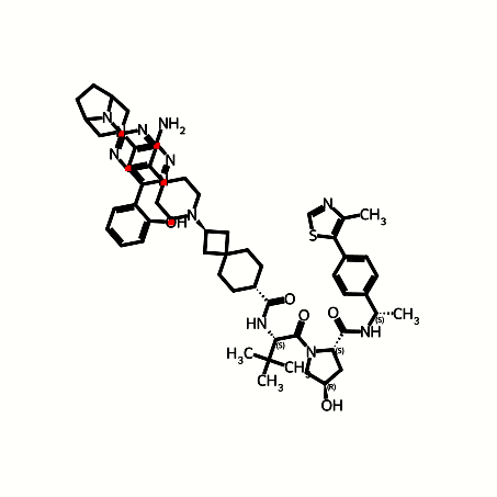 Cc1ncsc1-c1ccc([C@H](C)NC(=O)[C@@H]2C[C@@H](O)CN2C(=O)[C@@H](NC(=O)[C@H]2CCC3(CC2)C[C@H](N2CCC(c4cnc(N5C6CCC5CN(c5cc(-c7ccccc7O)nnc5N)C6)nc4)CC2)C3)C(C)(C)C)cc1